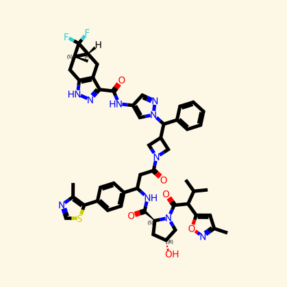 Cc1cc(C(C(=O)N2C[C@H](O)C[C@H]2C(=O)NC(CC(=O)N2CC(C(c3ccccc3)n3cc(NC(=O)c4n[nH]c5c4C[C@H]4C(F)(F)[C@@]4(C)C5)cn3)C2)c2ccc(-c3scnc3C)cc2)C(C)C)on1